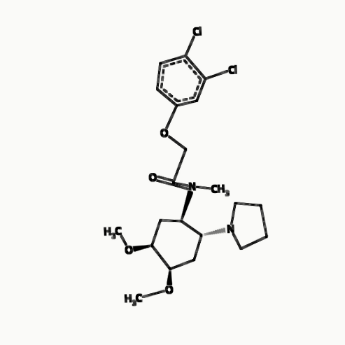 CO[C@H]1C[C@@H](N(C)C(=O)COc2ccc(Cl)c(Cl)c2)[C@H](N2CCCC2)C[C@H]1OC